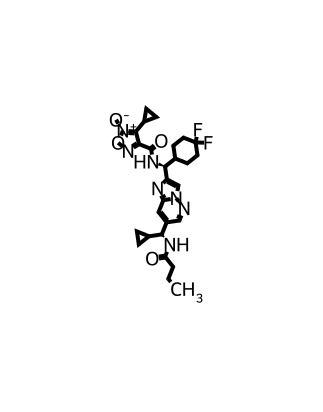 CCCC(=O)N[C@@H](c1cnn2cc([C@@H](NC(=O)c3no[n+]([O-])c3C3CC3)C3CCC(F)(F)CC3)nc2c1)C1CC1